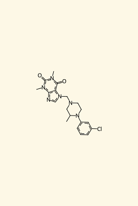 CC1CN(Cn2cnc3c2c(=O)n(C)c(=O)n3C)CCN1c1cccc(Cl)c1